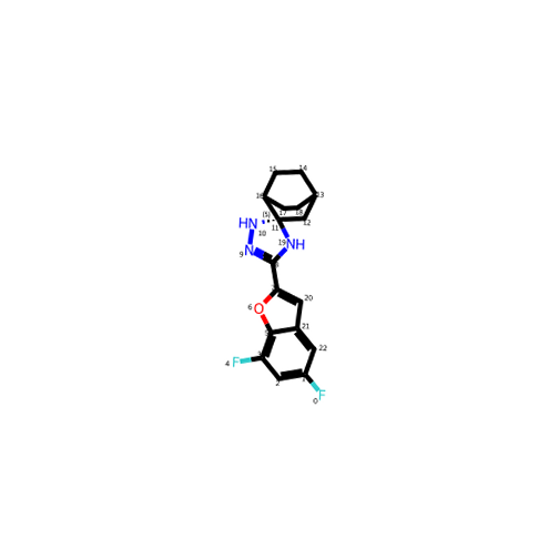 Fc1cc(F)c2oc(C3=NN[C@]4(CC5CCC4CC5)N3)cc2c1